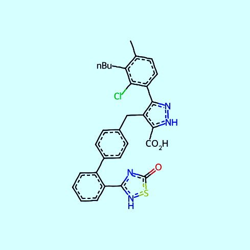 CCCCc1c(C)ccc(-c2n[nH]c(C(=O)O)c2Cc2ccc(-c3ccccc3-c3nc(=O)s[nH]3)cc2)c1Cl